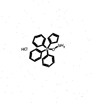 Cl.[SiH3][O][Zr]([C]1=CC=CC1)([c]1ccccc1)([c]1ccccc1)[c]1ccccc1